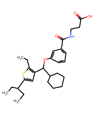 CCc1sc(C(CC)CC)cc1C(Oc1cccc(C(=O)NCCC(=O)O)c1)C1CCCCC1